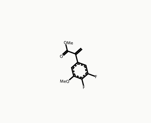 C=C(C(=O)OC)c1cc(F)c(F)c(OC)c1